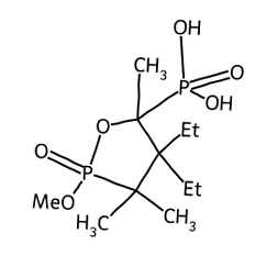 CCC1(CC)C(C)(P(=O)(O)O)OP(=O)(OC)C1(C)C